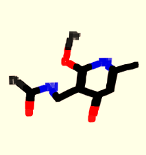 CCC(=O)NCc1c(OC(C)C)[nH]c(C)cc1=O